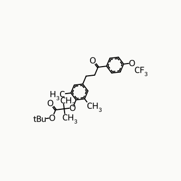 Cc1cc(CCC(=O)c2ccc(OC(F)(F)F)cc2)cc(C)c1OC(C)(C)C(=O)OC(C)(C)C